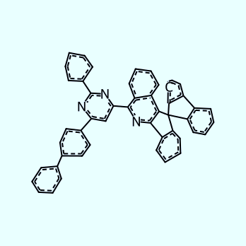 c1ccc(-c2ccc(-c3cc(-c4nc5c(c6ccccc46)C4(c6ccccc6-c6ccccc64)c4ccccc4-5)nc(-c4ccccc4)n3)cc2)cc1